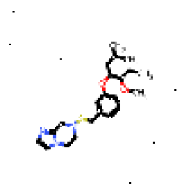 CCC(OC)C(CC(C)C)Oc1cccc(CSN2CCn3ccnc3C2)c1